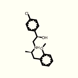 COc1ccccc1C[C@@H](C)NC[C@H](O)c1ccc(Cl)cc1